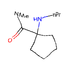 CCCNC1(C(=O)NC)CCCC1